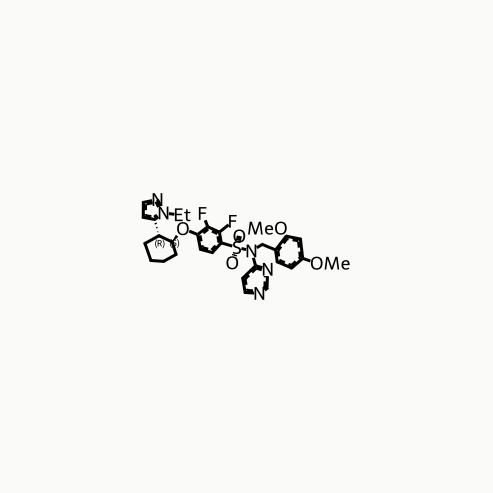 CCn1nccc1[C@H]1CCCC[C@@H]1Oc1ccc(S(=O)(=O)N(Cc2ccc(OC)cc2OC)c2ccncn2)c(F)c1F